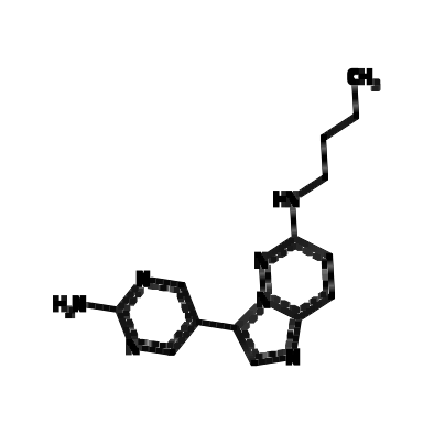 CCCCNc1ccc2ncc(-c3cnc(N)nc3)n2n1